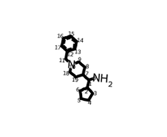 NC(C1CCCC1)C1CCN(Cc2ccccc2)CC1